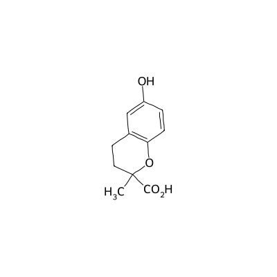 CC1(C(=O)O)CCc2cc(O)ccc2O1